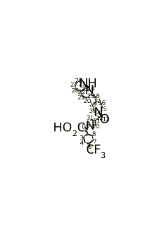 O=C(O)C(c1ccc(C(F)(F)F)cc1)N1CC(C(=O)N2CCC(Cc3ccc4c(n3)NCCC4)CC2)C1